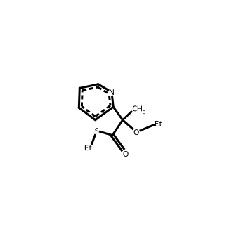 CCOC(C)(C(=O)SCC)c1ccccn1